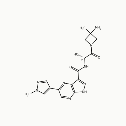 Cn1cc(-c2cnc3[nH]cc(C(=O)N[C@H](O)C(=O)N4CC(C)(N)C4)c3n2)cn1